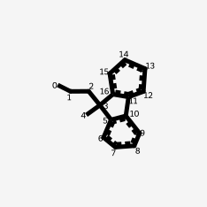 CCCC1(C)c2ccccc2-c2ccccc21